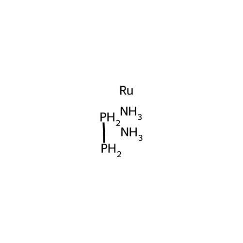 N.N.PP.[Ru]